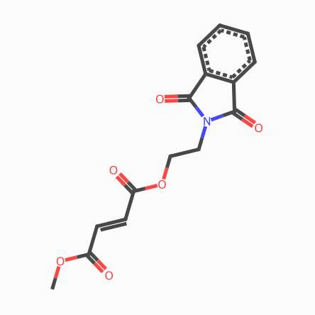 COC(=O)/C=C/C(=O)OCCN1C(=O)c2ccccc2C1=O